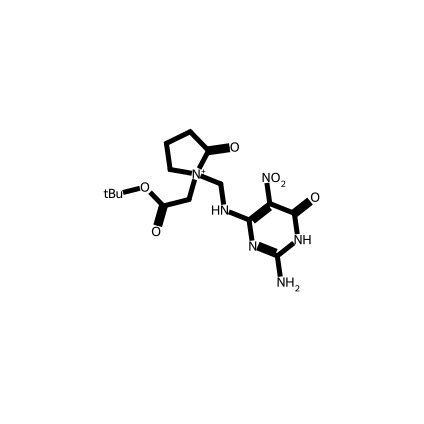 CC(C)(C)OC(=O)C[N+]1(CNc2nc(N)[nH]c(=O)c2[N+](=O)[O-])CCCC1=O